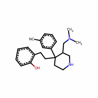 CN(C)CC1CNCCC1(CCc1ccccc1O)c1cccc(C#N)c1